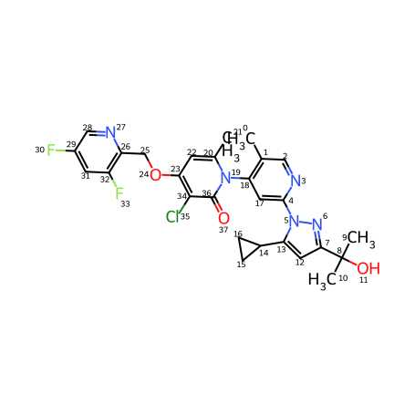 Cc1cnc(-n2nc(C(C)(C)O)cc2C2CC2)cc1-n1c(C)cc(OCc2ncc(F)cc2F)c(Cl)c1=O